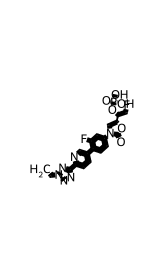 C=Cn1nnc(-c2ccc(-c3ccc(N4C[C@@H](C(CF)OP(=O)(O)O)OC4=O)cc3F)cn2)n1